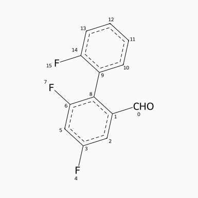 O=Cc1cc(F)cc(F)c1-c1ccccc1F